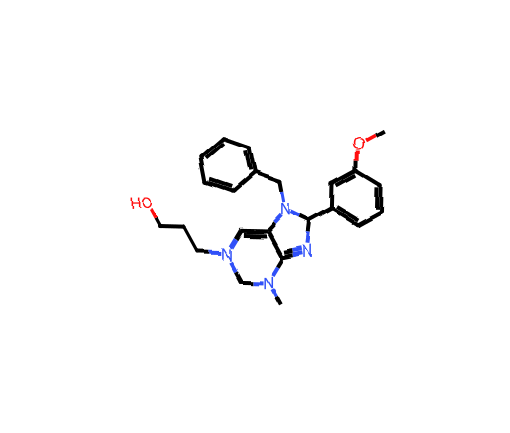 COc1cccc(C2N=C3C(=CN(CCCO)CN3C)N2Cc2ccccc2)c1